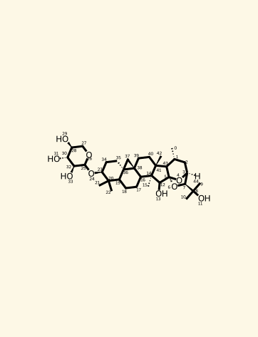 C[C@@H]1C[C@@H]2O[C@@]3(O[C@@H]2C(C)(C)O)C(O)[C@@]2(C)C4CCC5C(C)(C)[C@@H](OC6OC[C@H](O)[C@@H](O)[C@@H]6O)CC[C@@]56C[C@@]46CC[C@]2(C)C13